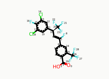 O=C(O)c1ccc(/C(F)=C/[C@@H](c2cc(Cl)c(F)c(Cl)c2)C(F)(F)F)cc1C(F)(F)F